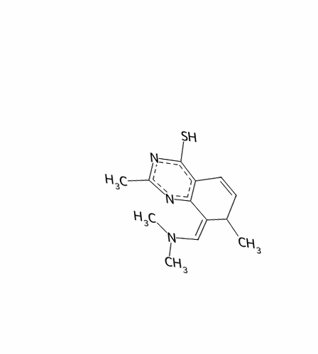 Cc1nc(S)c2c(n1)C(=CN(C)C)C(C)C=C2